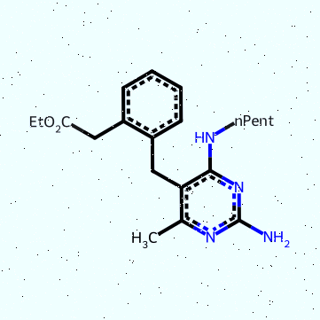 CCCCCNc1nc(N)nc(C)c1Cc1ccccc1CC(=O)OCC